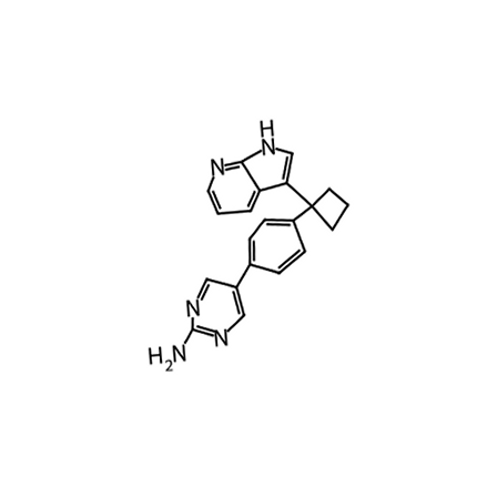 Nc1ncc(-c2ccc(C3(c4c[nH]c5ncccc45)CCC3)cc2)cn1